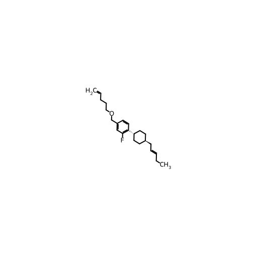 C=CCCCOCc1ccc([C@H]2CC[C@H](C/C=C/CC)CC2)c(F)c1